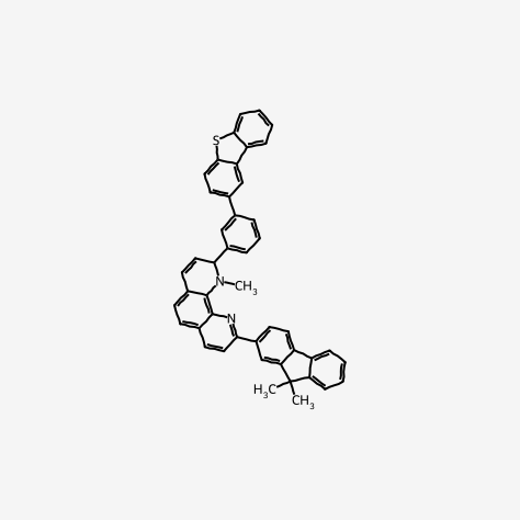 CN1c2c(ccc3ccc(-c4ccc5c(c4)C(C)(C)c4ccccc4-5)nc23)C=CC1c1cccc(-c2ccc3sc4ccccc4c3c2)c1